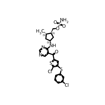 C[C@H]1C[C@H](Nc2ncncc2C(=O)c2cc(Sc3cccc(Cl)c3)c(Cl)s2)C[C@@H]1COS(N)(=O)=O